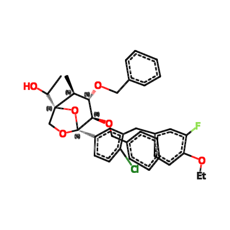 CCOc1ccc(Cc2cc([C@]34OC[C@](C(C)O)(O3)[C@@H](C)[C@H](OCc3ccccc3)[C@H]4OCc3ccccc3)ccc2Cl)cc1F